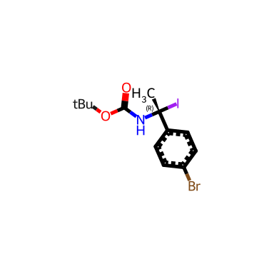 CC(C)(C)OC(=O)N[C@](C)(I)c1ccc(Br)cc1